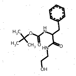 CC(C)(C)OC(=O)NC(Cc1ccccc1)C(=O)NCCO